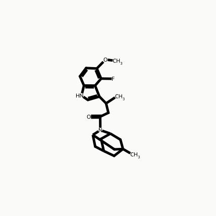 COc1ccc2[nH]cc(C(C)CC(=O)N3C4CC5CC3CC(C)(C5)C4)c2c1F